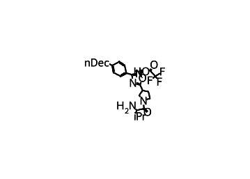 CCCCCCCCCCc1ccc(-c2noc(C3CCN(C(=O)C(N)C(C)C)C3)n2)cc1.O=C(O)C(F)(F)F